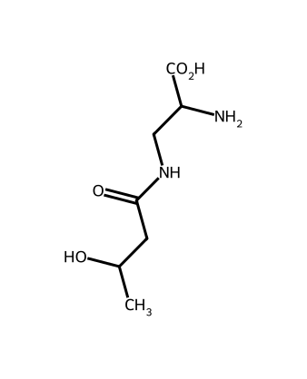 CC(O)CC(=O)NCC(N)C(=O)O